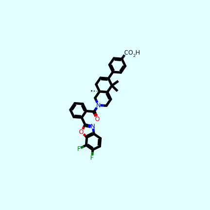 CC1(C)C(c2ccc(C(=O)O)cc2)=CC[C@]2(C)CN(C(=O)c3ccccc3-c3nc4ccc(F)c(F)c4o3)CC=C12